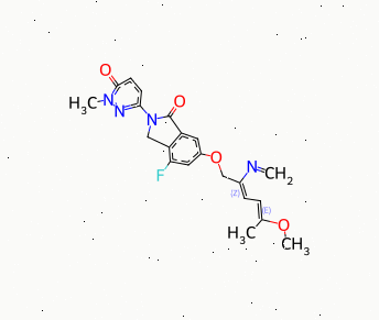 C=N/C(=C\C=C(/C)OC)COc1cc(F)c2c(c1)C(=O)N(c1ccc(=O)n(C)n1)C2